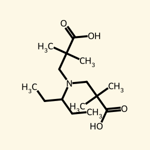 CCC(CC)N(CC(C)(C)C(=O)O)CC(C)(C)C(=O)O